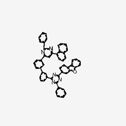 c1ccc(-c2nc(-c3cccc(-c4cccc(-c5nc(-c6ccccc6)nc(-c6ccc7c(c6)oc6ccccc67)n5)c4)c3)cc(-c3cccc4ccccc34)n2)cc1